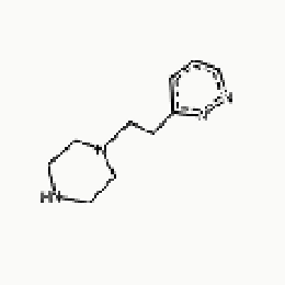 c1cnnc(CCN2CCNCC2)c1